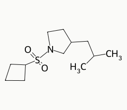 CC(C)CC1CCN(S(=O)(=O)C2CCC2)C1